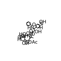 CC(=O)O[C@H]1C(=O)[C@@]2(C)[C@H]([C@H](O)[C@]3(O)C[C@H](OC(=O)[C@H](O)[C@@H](NC(=O)c4ccccc4)c4ccc([SiH](C)O)cc4)C(C)=C1C3(C)C)[C@]1(O)CO[C@@H]1C[C@@H]2O